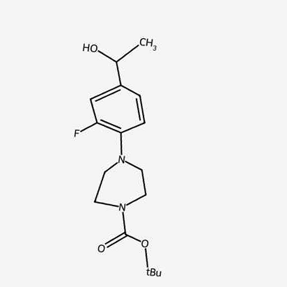 CC(O)c1ccc(N2CCN(C(=O)OC(C)(C)C)CC2)c(F)c1